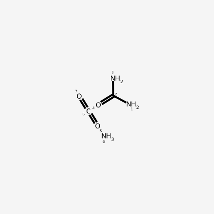 N.NC(N)=O.O=C=O